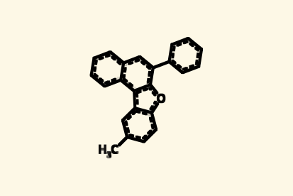 Cc1ccc2oc3c(-c4ccccc4)cc4ccccc4c3c2c1